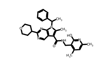 Cc1cc(C)c(CNC(=O)c2c(C)n(C(C)c3ccccc3)c3nc(C4CCOCC4)ncc23)c(O)n1